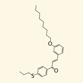 CCCCCCCCCOc1cccc(C=CC(=O)c2ccc(SCCC)cc2)c1